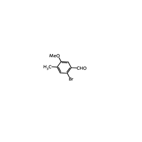 COc1cc(C=O)c(Br)cc1C